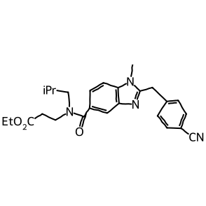 CCOC(=O)CCN(CC(C)C)C(=O)c1ccc2c(c1)nc(Cc1ccc(C#N)cc1)n2C